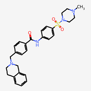 CN1CCN(S(=O)(=O)c2ccc(NC(=O)c3ccc(CN4CCc5ccccc5C4)cc3)cc2)CC1